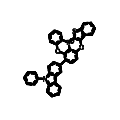 O=P12c3ccccc3Oc3c(-c4ccc5c(c4)c4ccccc4n5-c4ccccc4)ccc(c31)Oc1c2sc2ccccc12